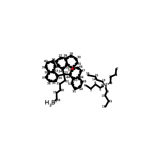 CCCC[N+](CCCC)(CCCC)CCCC.[BH3-]CCCCCC(c1cccc2ccccc12)(c1cccc2ccccc12)c1cccc2ccccc12